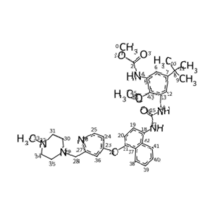 COC(=O)Nc1cc(C(C)(C)C)cc(NC(=O)Nc2ccc(Oc3ccnc(CN4CCN(C)CC4)c3)c3ccccc23)c1OC